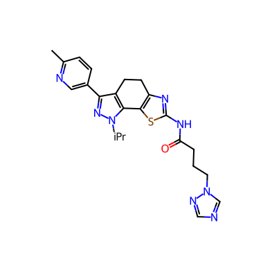 Cc1ccc(-c2nn(C(C)C)c3c2CCc2nc(NC(=O)CCCn4cncn4)sc2-3)cn1